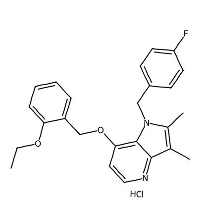 CCOc1ccccc1COc1ccnc2c(C)c(C)n(Cc3ccc(F)cc3)c12.Cl